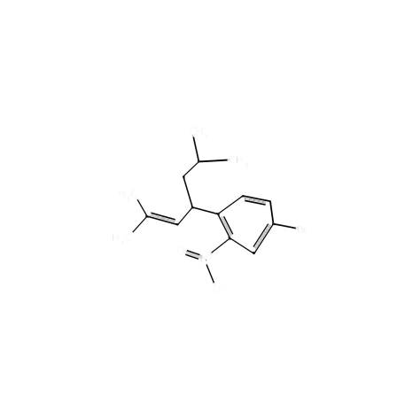 CC(C)=CC(CC(C)C)c1ccc(Br)cc1[N+](=O)[O-]